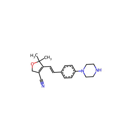 CC1(C)OCC(C#N)=C1C=Cc1ccc(N2CCNCC2)cc1